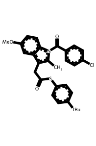 COc1ccc2c(c1)c(CC(=O)Sc1ccc(C(C)(C)C)cc1)c(C)n2C(=O)c1ccc(Cl)cc1